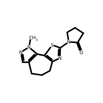 Cn1ncc2c1-c1sc(N3CCCC3=O)nc1CCC2